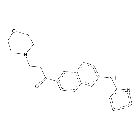 O=C(CCN1CCOCC1)c1ccc2cc(Nc3ccccn3)ccc2c1